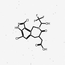 O=C(O)CC1Cc2cc(Cl)c3[nH]nc(Cl)c3c2CN(C(O)C(F)(F)F)C1=O